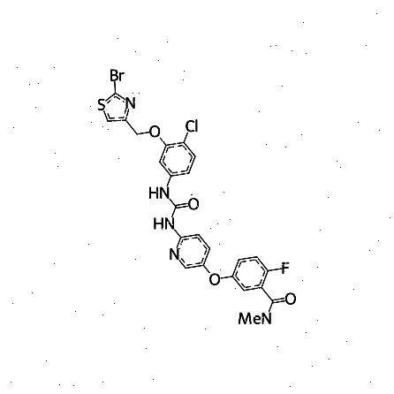 CNC(=O)c1cc(Oc2ccc(NC(=O)Nc3ccc(Cl)c(OCc4csc(Br)n4)c3)nc2)ccc1F